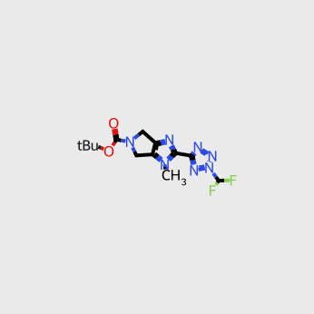 Cn1c(-c2nnn(C(F)F)n2)nc2c1CN(C(=O)OC(C)(C)C)C2